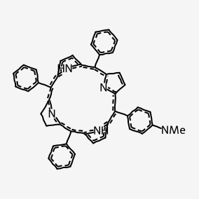 CNc1ccc(-c2c3nc(c(-c4ccccc4)c4ccc([nH]4)c(-c4ccccc4)c4nc(c(-c5ccccc5)c5ccc2[nH]5)CC4)C=C3)cc1